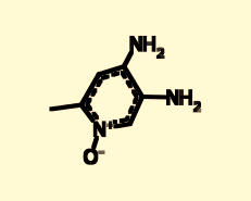 Cc1cc(N)c(N)c[n+]1[O-]